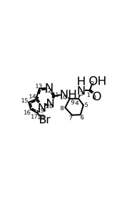 O=C(O)N[C@H]1CCCC[C@H]1Nc1ncc2ccc(Br)n2n1